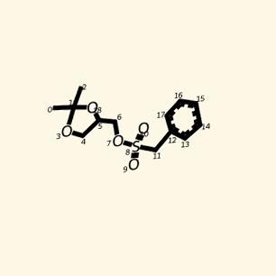 CC1(C)OCC(COS(=O)(=O)Cc2ccccc2)O1